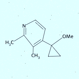 COC1(c2ccnc(C)c2C)CC1